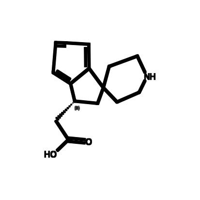 O=C(O)C[C@H]1CC2(CCNCC2)c2ccccc21